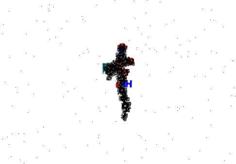 CCCCCC1CCC(c2ccc(-c3ccc(C(=O)Nc4ccc(-c5cc6c7c(c8c(c6cc5OC)OC(c5ccc(OC)cc5)(c5ccc(N6CCOCC6)cc5)C=C8)C(C)(C)c5c-7cc(C)cc5C(F)(F)F)cc4)cc3)cc2)CC1